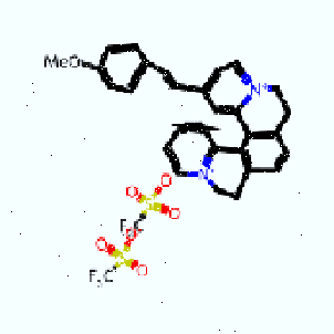 COc1ccc(/C=C/c2cc[n+]3c(c2)-c2c(ccc4c2-c2c5ccccc5cc[n+]2CC4)CC3)cc1.O=S(=O)([O-])C(F)(F)F.O=S(=O)([O-])C(F)(F)F